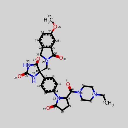 CCN1CCN(C(=O)C2CCC(=O)N2c2ccc([C@]3(CN4Cc5ccc(OC)cc5C4=O)NC(=O)NC3=O)cc2)CC1